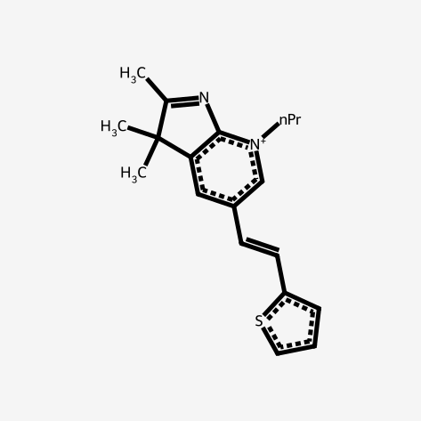 CCC[n+]1cc(/C=C/c2cccs2)cc2c1N=C(C)C2(C)C